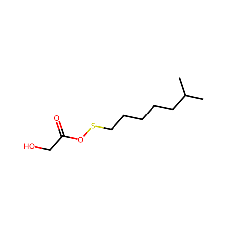 CC(C)CCCCCSOC(=O)CO